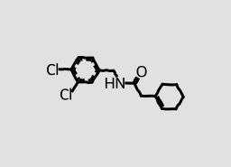 O=C(CC1=CCCCC1)NCc1ccc(Cl)c(Cl)c1